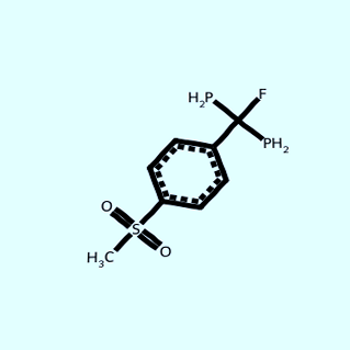 CS(=O)(=O)c1ccc(C(F)(P)P)cc1